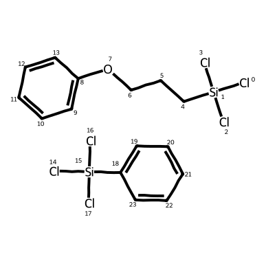 Cl[Si](Cl)(Cl)CCCOc1ccccc1.Cl[Si](Cl)(Cl)c1ccccc1